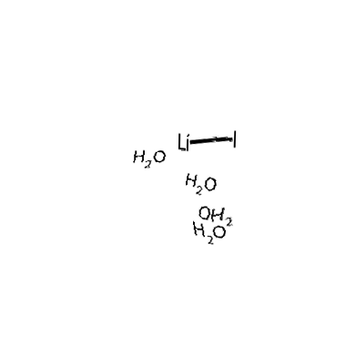 O.O.O.O.[Li][I]